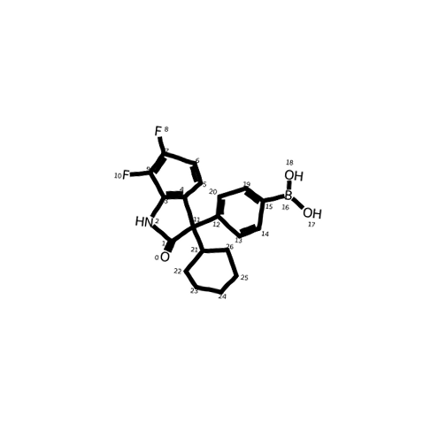 O=C1Nc2c(ccc(F)c2F)C1(c1ccc(B(O)O)cc1)C1CCCCC1